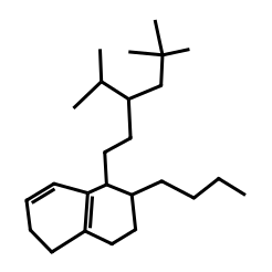 CCCCC1CCC2=C(C=CCC2)C1CCC(CC(C)(C)C)C(C)C